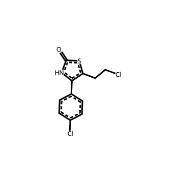 O=c1[nH]c(-c2ccc(Cl)cc2)c(CCCl)s1